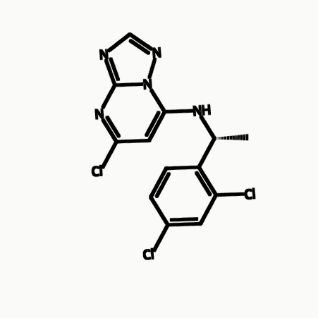 C[C@@H](Nc1cc(Cl)nc2ncnn12)c1ccc(Cl)cc1Cl